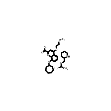 CC(C)NCC1CCCCN1.COCCOc1cc(C(=O)O)nc2c(OC3CCCCCC3)cccc12